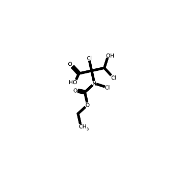 CCOC(=O)N(Cl)C(Cl)(C(=O)O)C(O)Cl